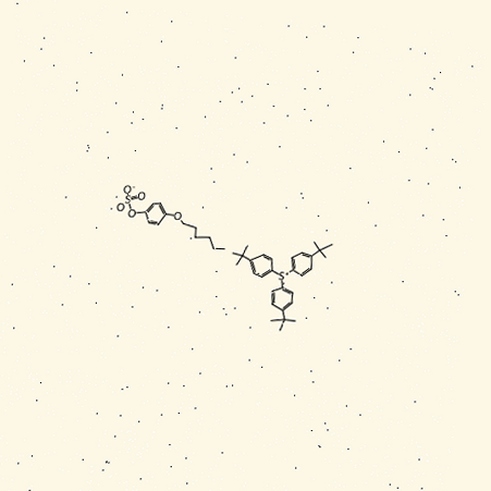 CC(C)(C)c1ccc([S+](c2ccc(C(C)(C)C)cc2)c2ccc(C(C)(C)C)cc2)cc1.CCCCCCOc1ccc(OS(=O)(=O)[O-])cc1